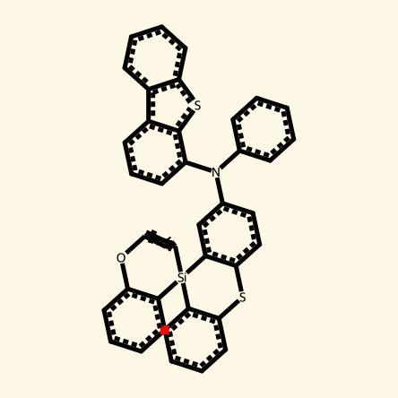 c1ccc(N(c2ccc3c(c2)[Si]2(c4ccccc4Oc4ccccc42)c2ccccc2S3)c2cccc3c2sc2ccccc23)cc1